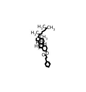 CC(C)CCC[C@@H](C)[C@H]1CC[C@H]2[C@@H]3CC=C4C[C@@H](OC(=O)C=Cc5ccccc5)CC[C@]4(C)[C@H]3CC[C@]12C